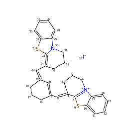 C1=C(C=C2CCC[n+]3c2sc2ccccc23)CCCC1=CC1=C2Sc3ccccc3N2CCC1.[I-]